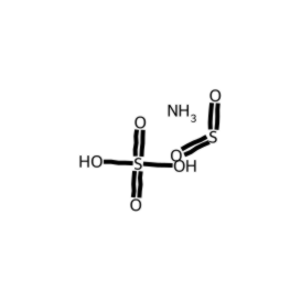 N.O=S(=O)(O)O.O=S=O